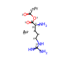 CCCC(=O)OC(=O)[C@@H](N)CCCNC(=N)N.[Au]